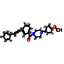 COc1ccc(N2CCN(C(=O)c3cccc(C#Cc4ccccc4)c3)CC2)cc1